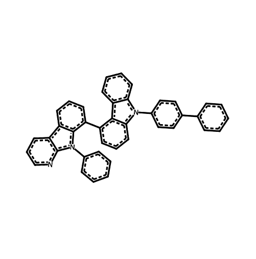 c1ccc(-c2ccc(-n3c4ccccc4c4c(-c5cccc6c7cccnc7n(-c7ccccc7)c56)cccc43)cc2)cc1